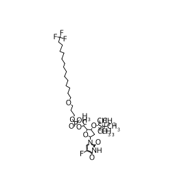 CC(OP(=O)(O)OCCCOCCCCCCCCCCCCCCC(F)(F)F)C1OC(n2cc(F)c(=O)[nH]c2=O)CC1O[Si](C)(C)C(C)(C)C